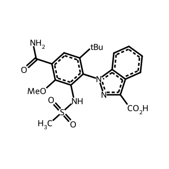 COc1c(C(N)=O)cc(C(C)(C)C)c(-n2nc(C(=O)O)c3ccccc32)c1NS(C)(=O)=O